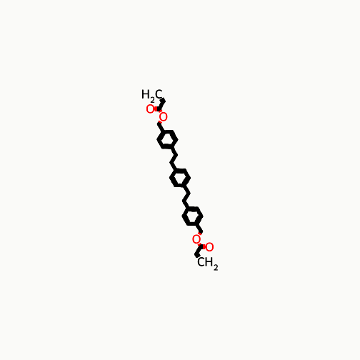 C=CC(=O)OCc1ccc(CCc2ccc(CCc3ccc(COC(=O)C=C)cc3)cc2)cc1